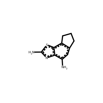 Nc1nc2c(N)cc3c(c2s1)CCC3